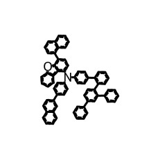 c1ccc(-c2ccc(-c3ccccc3-c3ccc(N(c4ccc(-c5ccc6ccccc6c5)cc4)c4ccc(-c5cccc6ccccc56)c5oc6ccccc6c45)cc3)c(-c3ccccc3)c2)cc1